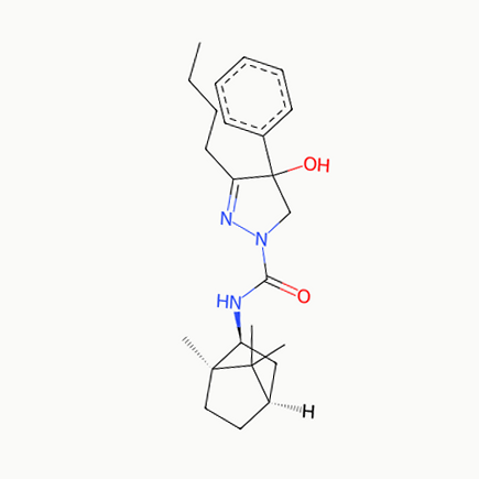 CCCCC1=NN(C(=O)N[C@H]2C[C@H]3CC[C@]2(C)C3(C)C)CC1(O)c1ccccc1